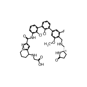 COc1cc(-c2cccc(-c3cccc(NC(=O)c4cc5n(n4)CCCC5NCC(=O)O)c3Cl)c2Cl)cc(F)c1CNC[C@@H]1CCC(=O)N1